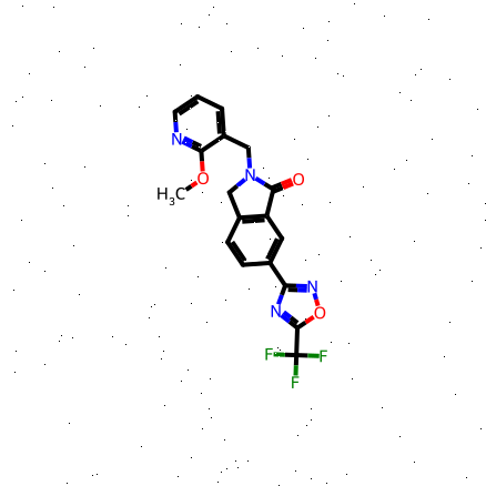 COc1ncccc1CN1Cc2ccc(-c3noc(C(F)(F)F)n3)cc2C1=O